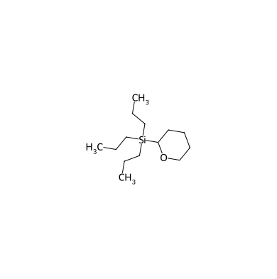 CCC[Si](CCC)(CCC)C1CCCCO1